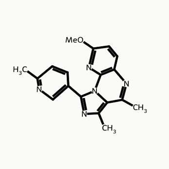 COc1ccc2nc(C)c3c(C)nc(-c4ccc(C)nc4)n3c2n1